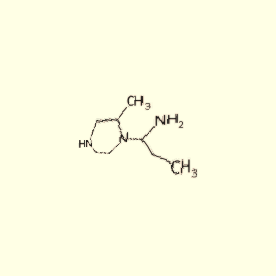 CCC(N)N1CCNCC1C